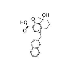 CC1(O)CCCc2c1c(=O)c(C(=O)O)cn2Cc1ccc2ccccc2c1